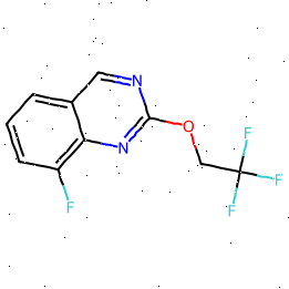 Fc1cccc2cnc(OCC(F)(F)F)nc12